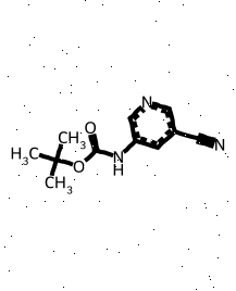 CC(C)(C)OC(=O)Nc1cncc(C#N)c1